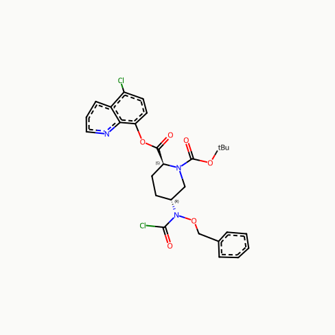 CC(C)(C)OC(=O)N1C[C@H](N(OCc2ccccc2)C(=O)Cl)CC[C@H]1C(=O)Oc1ccc(Cl)c2cccnc12